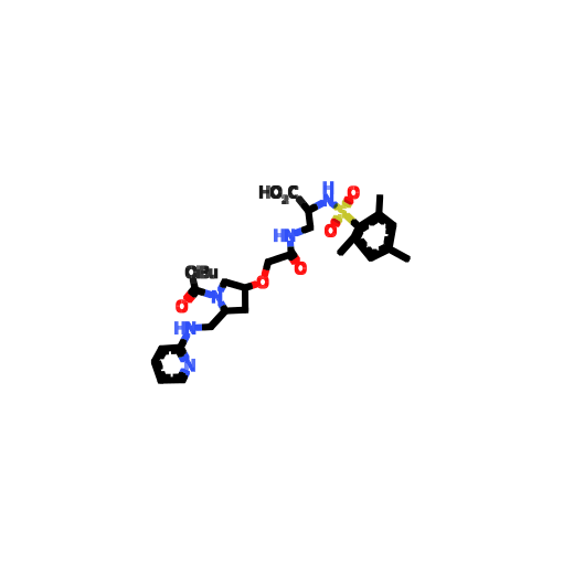 Cc1cc(C)c(S(=O)(=O)NC(CNC(=O)COC2CC(CNc3ccccn3)N(C(=O)OCC(C)C)C2)C(=O)O)c(C)c1